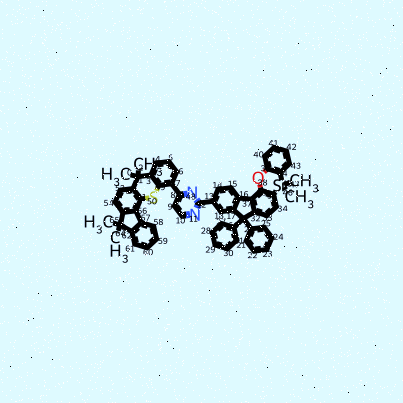 CC1(C)c2cccc(-c3ccnc(-c4ccc5c(c4)C(c4ccccc4)(c4ccccc4)c4ccc6c(c4-5)Oc4ccccc4[Si]6(C)C)n3)c2Sc2c1ccc1c2-c2ccccc2C1(C)C